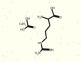 N=C(N)NCCCC(N)C(=O)O.O=C(O)O.[CaH2]